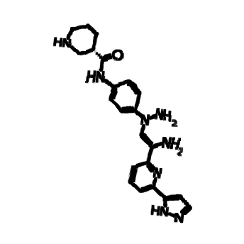 N/C(=C\N(N)c1ccc(NC(=O)[C@H]2CCCNC2)cc1)c1cccc(-c2ccn[nH]2)n1